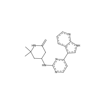 C=C1CC(Nc2nccc(-c3c[nH]c4ncccc34)n2)CC(C)(C)N1